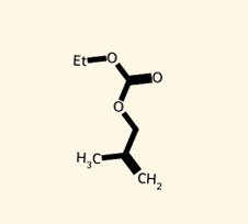 C=C(C)COC(=O)OCC